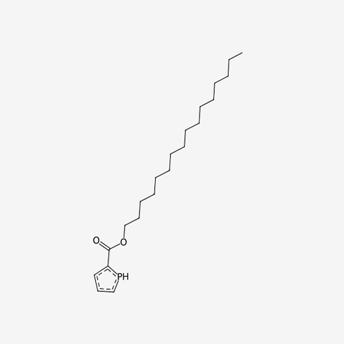 CCCCCCCCCCCCCCCCOC(=O)c1ccc[pH]1